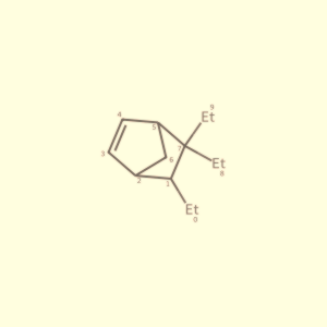 CCC1C2C=CC(C2)C1(CC)CC